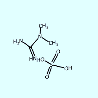 CN(C)C(=N)N.O=S(=O)(O)O